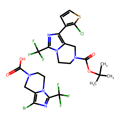 CC(C)(C)OC(=O)N1CCn2c(C(F)(F)F)nc(-c3ccsc3Cl)c2C1.O=C(O)N1CCn2c(C(F)(F)F)nc(Br)c2C1